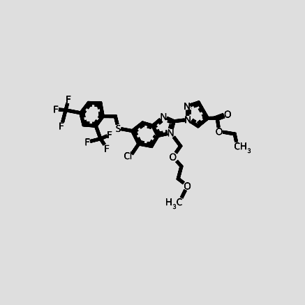 CCOC(=O)c1cnn(-c2nc3cc(SCc4ccc(C(F)(F)F)cc4C(F)(F)F)c(Cl)cc3n2COCCOC)c1